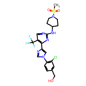 CS(=O)(=O)N1CCC(Nc2ncc(C(F)(F)F)c(-c3cn(-c4ccc(CO)cc4Cl)cn3)n2)CC1